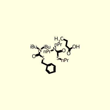 CCC(C)N(C(=O)SCc1ccccc1)C(C)CC.CCCC(=O)O.CCCSC(=O)N(CCC)CCC